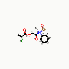 C=C(Cl)C(=O)OCC(=O)[N@@+](C)([SH]=O)c1ccccc1